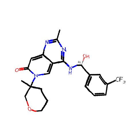 Cc1nc(N[C@H](O)c2cccc(C(F)(F)F)c2)c2cn(C3(C)CCCOC3)c(=O)cc2n1